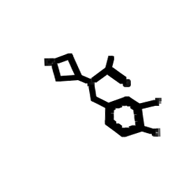 CC(=O)N(Cc1ccc(Cl)c(F)c1)C1CNC1